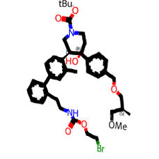 COC[C@H](C)COCc1ccc([C@@]2(O)CCN(C(=O)OC(C)(C)C)C[C@@H]2c2ccc(-c3ccccc3CCNC(=O)OCCBr)cc2C)cc1